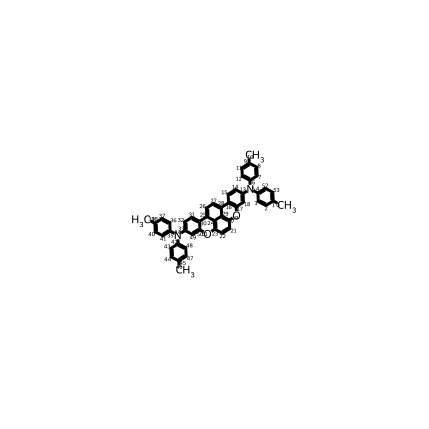 Cc1ccc(N(c2ccc(C)cc2)c2ccc3c(c2)Oc2ccc4c5c(ccc-3c25)-c2ccc(N(c3ccc(C)cc3)c3ccc(C)cc3)cc2O4)cc1